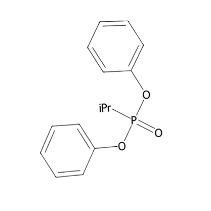 CC(C)P(=O)(Oc1ccccc1)Oc1ccccc1